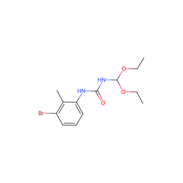 CCOC(NC(=O)Nc1cccc(Br)c1C)OCC